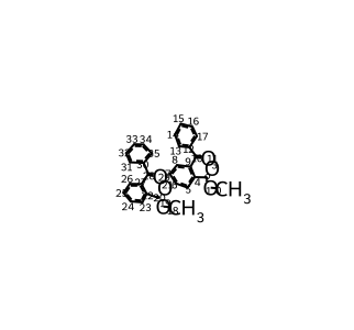 COC(=O)c1ccccc1C(=O)c1ccccc1.COC(=O)c1ccccc1C(=O)c1ccccc1